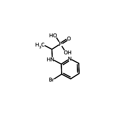 CC(Nc1ncccc1Br)P(=O)(O)O